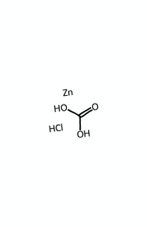 Cl.O=C(O)O.[Zn]